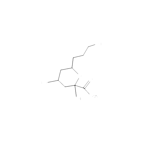 COC(=O)C1(O)CC(O)CC(CCCO)O1